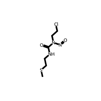 CSCCNC(=O)N(CCCl)N=O